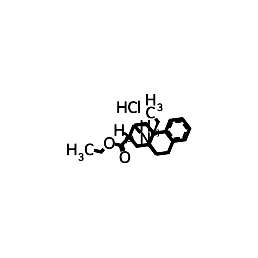 CCOC(=O)[C@H]1CC2C3Cc4ccccc4[C@@]2(CC)CC1N3.Cl